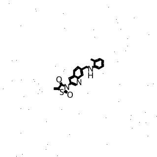 C=C1SC(=O)N(c2cnc3cc(CNc4ccccc4C)ccc3c2)C1=O